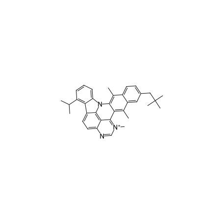 Cc1c2cc(CC(C)(C)C)ccc2c(C)c2c1c1c3c(ccc4c5c(C(C)C)cccc5n2c43)nc[n+]1C